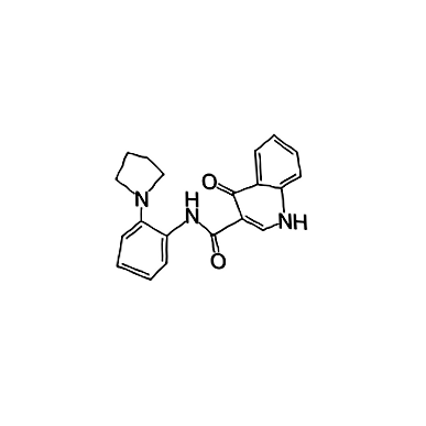 O=C(Nc1ccccc1N1CCCC1)c1c[nH]c2ccccc2c1=O